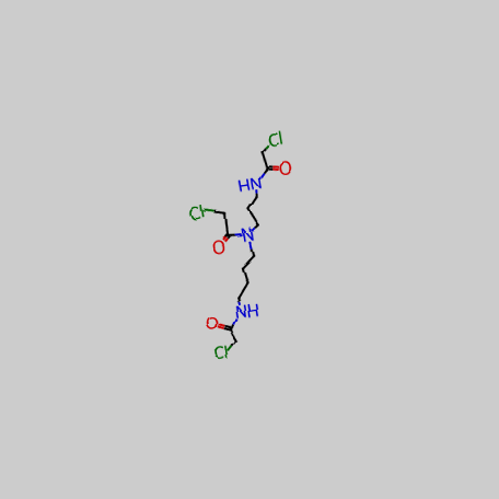 O=C(CCl)NCCCCN(CCCNC(=O)CCl)C(=O)CCl